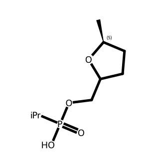 CC(C)P(=O)(O)OCC1CC[C@H](C)O1